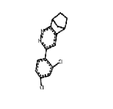 Clc1ccc(-c2cc3c(nn2)C2CCC3C2)c(Cl)c1